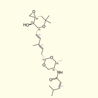 CC(/C=C/[C@H]1OC(C)(C)C[C@@]2(CO2)[C@@H]1O)=C\C[C@H]1OC[C@@H](NC(=O)/C=C\C(C)C)[C@@H](C)O1